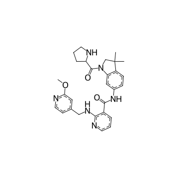 COc1cc(CNc2ncccc2C(=O)Nc2ccc3c(c2)N(C(=O)C2CCCN2)CC3(C)C)ccn1